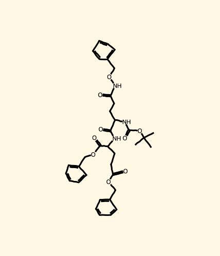 CC(C)(C)OC(=O)NC(CCC(=O)NOCc1ccccc1)C(=O)NC(CCC(=O)OCc1ccccc1)C(=O)OCc1ccccc1